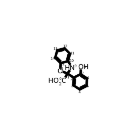 O=C(O)C1(c2ccccc2O)Nc2ccccc2O1